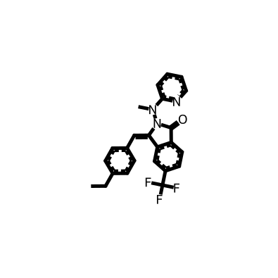 CCc1ccc(C=C2c3cc(C(F)(F)F)ccc3C(=O)N2N(C)c2ccccn2)cc1